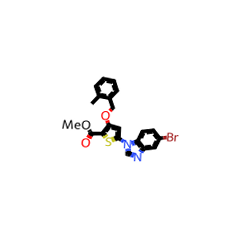 COC(=O)c1sc(-n2cnc3cc(Br)ccc32)cc1OCc1ccccc1C